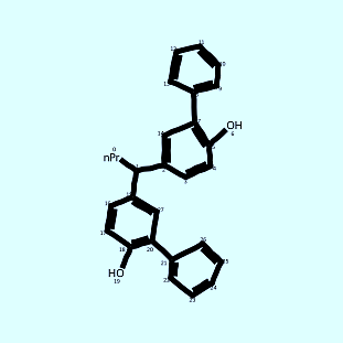 CCCC(c1ccc(O)c(-c2ccccc2)c1)c1ccc(O)c(-c2ccccc2)c1